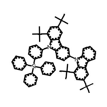 CC(C)(C)c1cc(C(C)(C)C)c2c(c1)c1ccccc1n2-c1ccc2c(c1)c1cc(C(C)(C)C)cc(C(C)(C)C)c1n2-c1cccc([Si](c2ccccc2)(c2ccccc2)c2ccccc2)c1